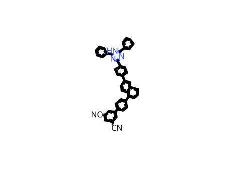 N#Cc1cc(C#N)cc(-c2ccc(-c3cccc4cc(-c5ccc(C6=NC(c7ccccc7)NC(c7ccccc7)=N6)cc5)ccc34)cc2)c1